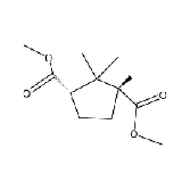 COC(=O)[C@H]1CC[C@@](C)(C(=O)OC)C1(C)C